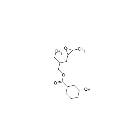 CCC(COC(=O)C1CCC[C@@H](O)C1)CC1OC1C